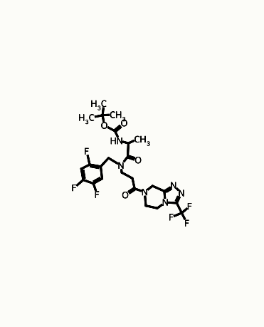 CC(NC(=O)OC(C)(C)C)C(=O)N(CCC(=O)N1CCn2c(nnc2C(F)(F)F)C1)Cc1cc(F)c(F)cc1F